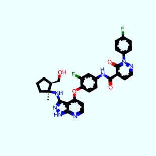 C[C@]1(Nc2n[nH]c3nccc(Oc4ccc(NC(=O)c5ccnn(-c6ccc(F)cc6)c5=O)cc4F)c23)CCC[C@H]1CO